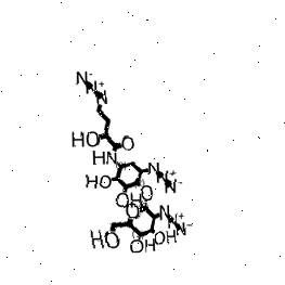 [N-]=[N+]=NCCC(O)C(=O)N[C@@H]1CC(N=[N+]=[N-])[C@@H](O[C@H]2OC(CO)[C@@H](O)C(O)C2N=[N+]=[N-])C(O)C1O